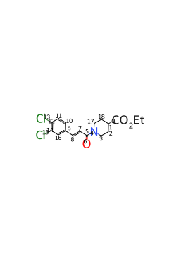 CCOC(=O)C1CCN(C(=O)/C=C/c2ccc(Cl)c(Cl)c2)CC1